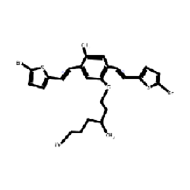 Cc1cc(/C=C/c2ccc(Br)s2)c(OCCC(C)CCCC(C)C)cc1/C=C/c1ccc(Br)s1